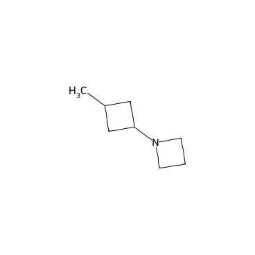 CC1CC(N2CCC2)C1